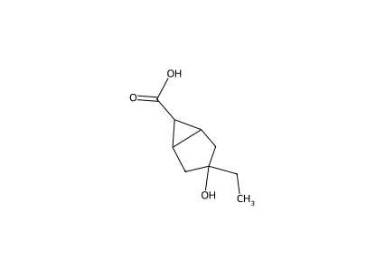 CCC1(O)CC2C(C1)C2C(=O)O